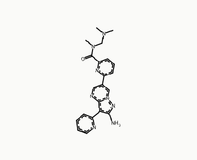 CN(C)CN(C)C(=O)c1cccc(-c2cnc3c(-c4ccccn4)c(N)nn3c2)n1